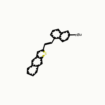 CCCCc1ccc2c(C=Cc3cc4cc5ccccc5cc4s3)cccc2c1